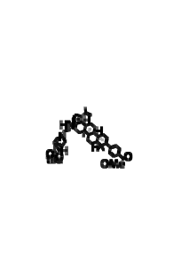 C=C(C)[C@@H]1CC[C@]2(NCCN3C[C@@H]4CC3CN4C(=O)OC(C)(C)C)CC[C@]3(C)[C@H](CC[C@@H]4[C@@]5(C)CC=C(c6ccc(C(=O)OC)cc6)C(C)(C)[C@@H]5CC[C@]43C)[C@@H]12